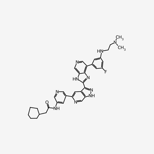 CN(C)CCNc1cc(F)cc(-c2cncc3[nH]c(-c4n[nH]c5cnc(-c6cncc(NC(=O)CC7CCCCC7)c6)cc45)nc23)c1